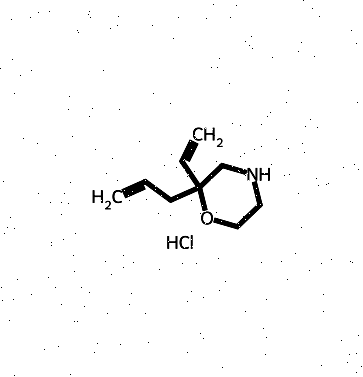 C=CCC1(C=C)CNCCO1.Cl